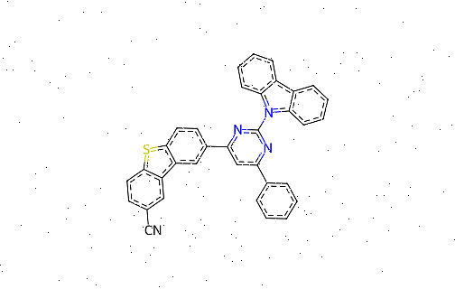 N#Cc1ccc2sc3ccc(-c4cc(-c5ccccc5)nc(-n5c6ccccc6c6ccccc65)n4)cc3c2c1